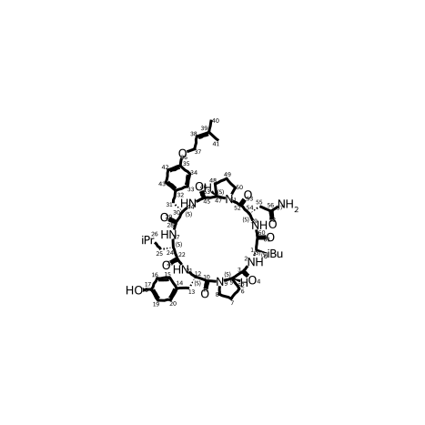 CC[C@H](C)[C@@H]1NC(=O)[C@@H]2CCCN2C(=O)[C@H](Cc2ccc(O)cc2)NC(=O)[C@H](CC(C)C)NC(=O)[C@H](Cc2ccc(OCC=C(C)C)cc2)NC(=O)[C@@H]2CCCN2C(=O)[C@H](CC(N)=O)NC1=O